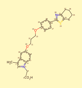 Cc1cn(CC(=O)O)c2ccc(OCCCOc3ccc(-c4nc5c(s4)CCCC5)cc3)cc12